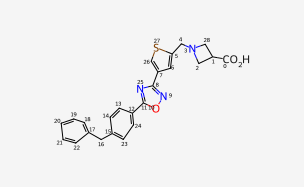 O=C(O)C1CN(Cc2cc(-c3noc(-c4ccc(Cc5ccccc5)cc4)n3)cs2)C1